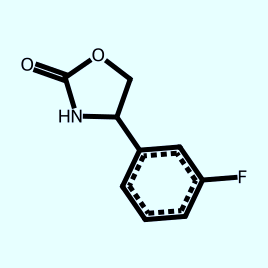 O=C1NC(c2cccc(F)c2)CO1